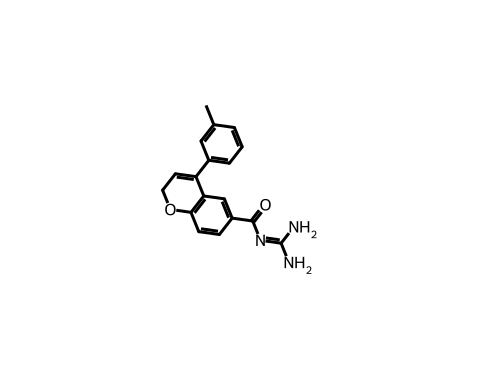 Cc1cccc(C2=CCOc3ccc(C(=O)N=C(N)N)cc32)c1